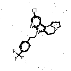 FC(F)(F)c1ccc(CCn2c3c(c4cc(Cl)cnc42)C2CCCN2CC3)cc1